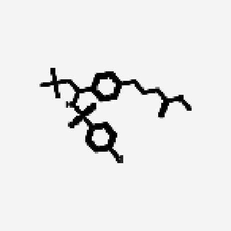 COC(=O)CCCc1ccc(C(CC(C)(C)C)NS(=O)(=O)c2ccc(Cl)cc2)cc1